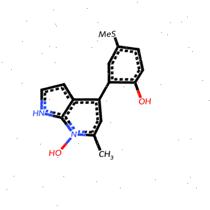 CSc1ccc(O)c(-c2cc(C)[n+](O)c3[nH]ccc23)c1